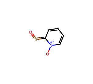 O=S=C1C=CC=C[NH+]1[O-]